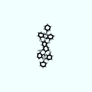 O=P12c3c4cccc3N(c3ccccc3)c3cccc(c31)Oc1cc3c5c6c(cc3c(c12)N4)Oc1cccc2c1P6(=O)c1c(cccc1N2c1ccccc1)O5